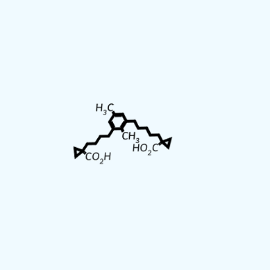 Cc1cc(CCCCCC2(C(=O)O)CC2)c(C)c(CCCCC2(C(=O)O)CC2)c1